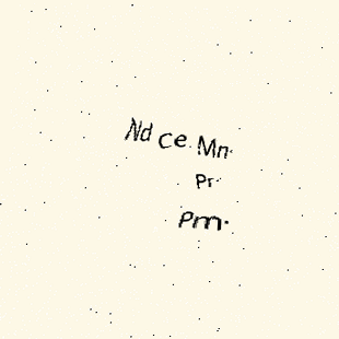 [Ce].[Mn].[Nd].[Pm].[Pr]